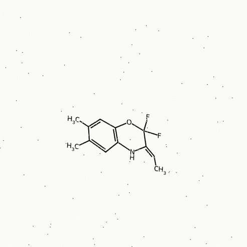 CC=C1Nc2cc(C)c(C)cc2OC1(F)F